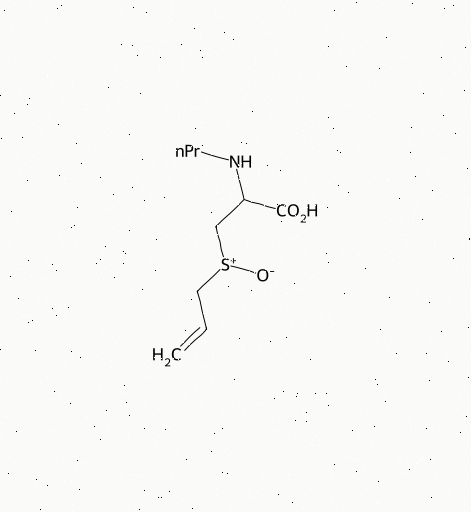 C=CC[S+]([O-])CC(NCCC)C(=O)O